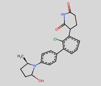 C[C@@H]1CCC(O)N1c1ccc(-c2cccc(C3CCC(=O)NC3=O)c2Cl)cc1